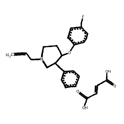 C=CCN1CCC(Oc2ccc(F)cc2)C(c2ccccc2)C1.O=C(O)C=CC(=O)O